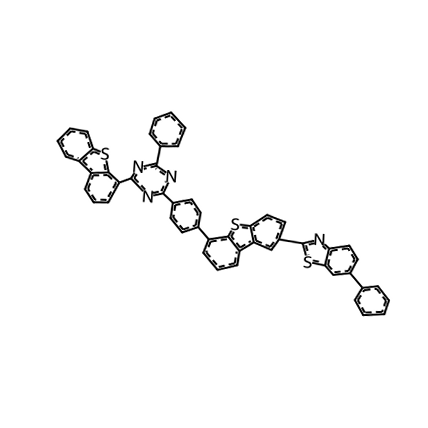 c1ccc(-c2ccc3nc(-c4ccc5sc6c(-c7ccc(-c8nc(-c9ccccc9)nc(-c9cccc%10c9sc9ccccc9%10)n8)cc7)cccc6c5c4)sc3c2)cc1